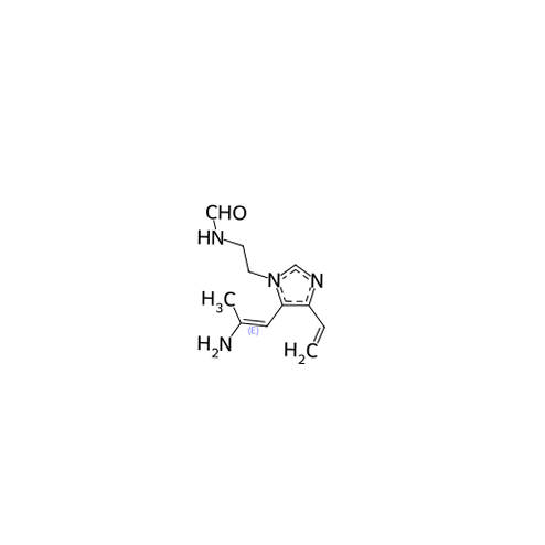 C=Cc1ncn(CCNC=O)c1/C=C(\C)N